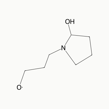 [O]CCCN1CCCC1O